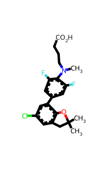 CN(CCCC(=O)O)c1c(F)cc(-c2cc(Cl)cc3c2OC(C)(C)C3)cc1F